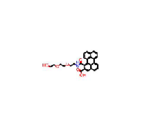 O=C(O)c1cc2cccc3c4cccc5cccc(c(c1C(=O)NCCOCCOCCO)c23)c54